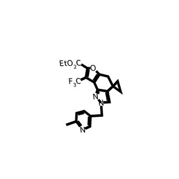 CCOC(=O)c1oc2c(c1C(F)(F)F)-c1nn(Cc3ccc(C)nc3)cc1C1(CC1)C2